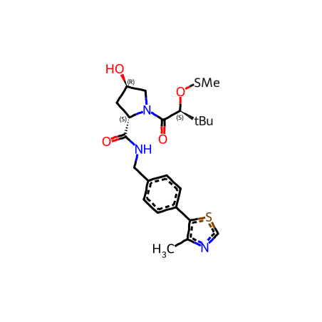 CSO[C@H](C(=O)N1C[C@H](O)C[C@H]1C(=O)NCc1ccc(-c2scnc2C)cc1)C(C)(C)C